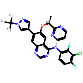 [2H]C([2H])([2H])n1cc(-c2cc3ncnc(Nc4ccc(F)c(Cl)c4F)c3cc2O[C@@H](C)c2ncccn2)cn1